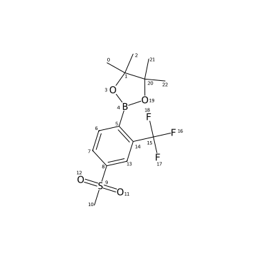 CC1(C)OB(c2ccc(S(C)(=O)=O)cc2C(F)(F)F)OC1(C)C